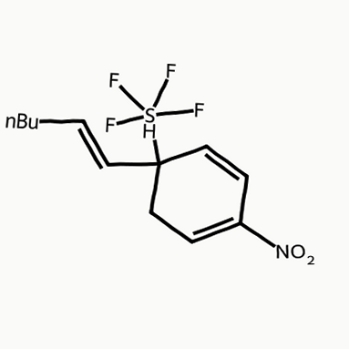 CCCCC=CC1([SH](F)(F)(F)F)C=CC([N+](=O)[O-])=CC1